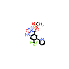 CS(=O)(=O)Nn1c(=O)[nH]c2cc(C(F)(F)F)c(-c3ccccn3)cc2c1=O